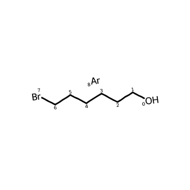 OCCCCCCBr.[Ar]